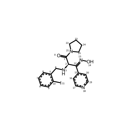 O=C([C@H](NCc1ccccc1I)/C(=N/O)c1ccncc1)N1CCCC1